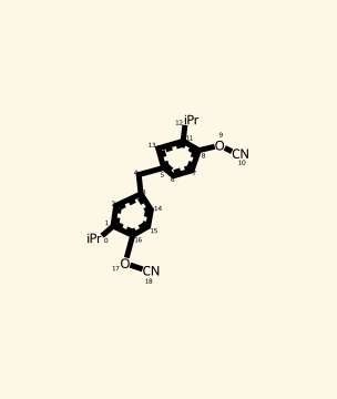 CC(C)c1cc(Cc2ccc(OC#N)c(C(C)C)c2)ccc1OC#N